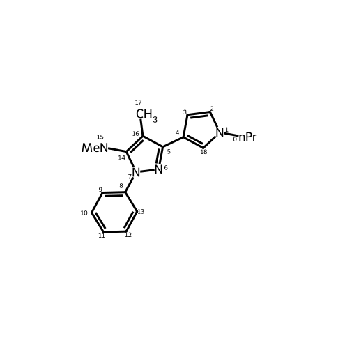 CCCn1ccc(-c2nn(-c3ccccc3)c(NC)c2C)c1